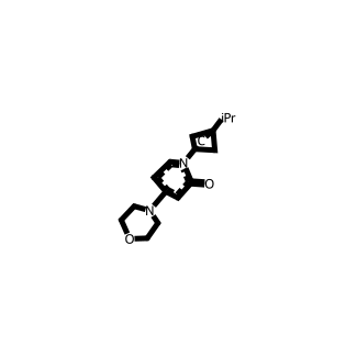 CC(C)C12CC(n3ccc(N4CCOCC4)cc3=O)(C1)C2